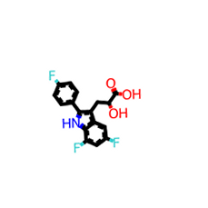 O=C(O)C(O)Cc1c(-c2ccc(F)cc2)[nH]c2c(F)cc(F)cc12